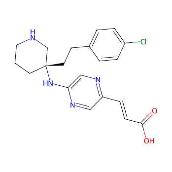 O=C(O)/C=C/c1cnc(N[C@]2(CCc3ccc(Cl)cc3)CCCNC2)cn1